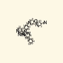 N#Cc1ccnc(OC2CCN(Cc3ccc(-n4c(-c5cccnc5N)nc5cc(-c6ccccc6)cnc54)cc3)CC2)c1